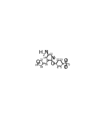 CS(=O)(=O)c1ccc(Oc2ncc(N)cc2CC2CCOC2)cc1